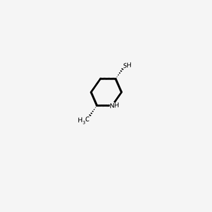 C[C@@H]1CC[C@H](S)CN1